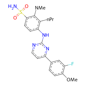 CCCc1c(Nc2nccc(-c3ccc(OC)c(F)c3)n2)ccc(S(N)(=O)=O)c1NC